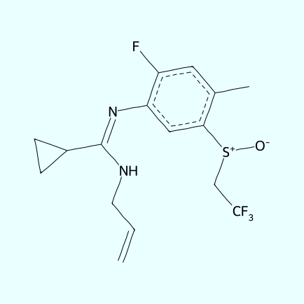 C=CCN/C(=N\c1cc([S+]([O-])CC(F)(F)F)c(C)cc1F)C1CC1